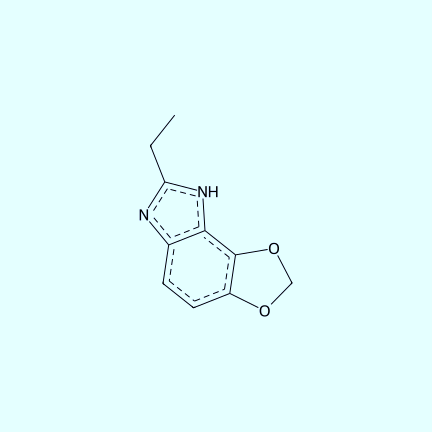 CCc1nc2ccc3c(c2[nH]1)OCO3